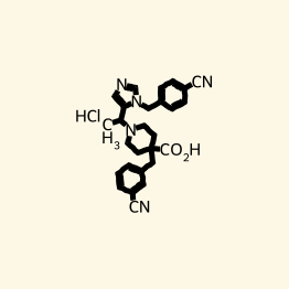 CC(c1cncn1Cc1ccc(C#N)cc1)N1CCC(Cc2cccc(C#N)c2)(C(=O)O)CC1.Cl